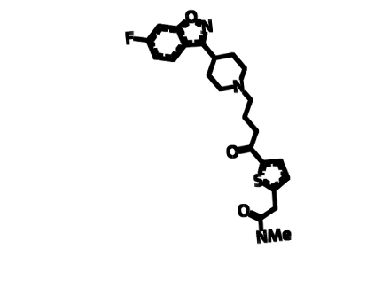 CNC(=O)Cc1ccc(C(=O)CCCN2CCC(c3noc4cc(F)ccc34)CC2)s1